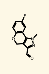 Cn1nc(C=O)c2c1-c1cc(F)ccc1OC2